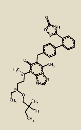 CC[C@@H](CC[C@H](C)n1c(=O)c(Cc2ccc(-c3ccccc3-c3noc(=O)[nH]3)cc2)c(C)n2ncnc12)OCC(C)(O)CC